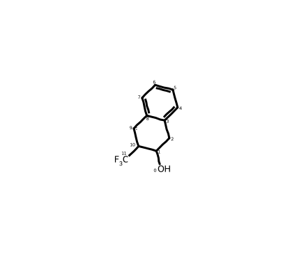 OC1Cc2ccccc2[C]C1C(F)(F)F